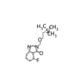 C[Si](C)(C)CCOCn1cnc2cccc(F)c2c1=O